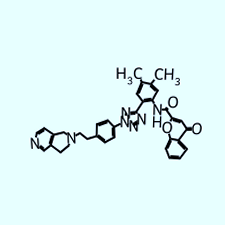 Cc1cc(NC(=O)c2cc(=O)c3ccccc3o2)c(-c2nnn(-c3ccc(CCN4CCc5cnccc5C4)cc3)n2)cc1C